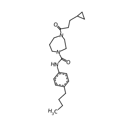 CCCCc1ccc(NC(=O)N2CCCN(C(=O)CCC3CC3)CC2)cc1